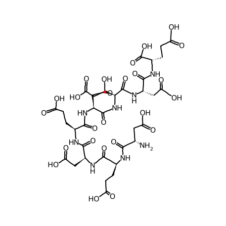 N[C@@H](CC(=O)O)C(=O)N[C@@H](CCC(=O)O)C(=O)N[C@@H](CC(=O)O)C(=O)N[C@@H](CCC(=O)O)C(=O)N[C@@H](CC(=O)O)C(=O)N[C@@H](CCC(=O)O)C(=O)N[C@@H](CC(=O)O)C(=O)N[C@@H](CCC(=O)O)C(=O)O